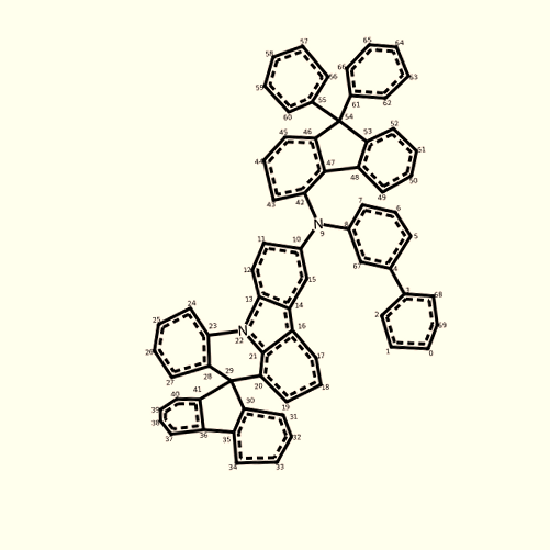 c1ccc(-c2cccc(N(c3ccc4c(c3)c3cccc5c3n4-c3ccccc3C53c4ccccc4-c4ccccc43)c3cccc4c3-c3ccccc3C4(c3ccccc3)c3ccccc3)c2)cc1